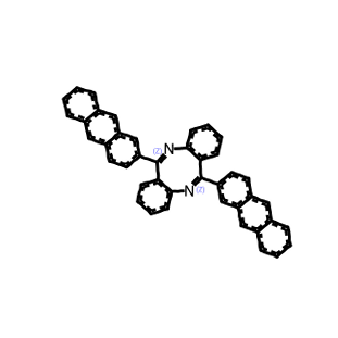 c1ccc2c(c1)/N=C(/c1ccc3cc4ccccc4cc3c1)c1ccccc1/N=C\2c1ccc2cc3ccccc3cc2c1